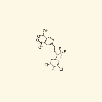 O=C(O)c1ccc(CC=C(c2cc(Cl)c(F)c(Cl)c2)C(F)(F)F)cc1[N+](=O)[O-]